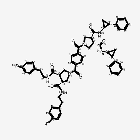 O=C(NCCc1ccc(F)cc1)[C@H]1CN(C(=O)c2ccc(C(=O)N3C[C@@H](C(=O)N[C@H]4C[C@@H]4c4ccccc4)[C@H](C(=O)N[C@H]4C[C@@H]4c4ccccc4)C3)cc2)C[C@@H]1C(=O)NCCc1ccc(F)cc1